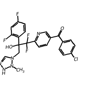 CN1NN=CN1CC(O)(c1ccc(F)cc1F)C(F)(F)c1ccc(C(=O)c2ccc(Cl)cc2)cn1